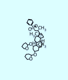 C[C@H](CS(=O)(=O)c1ccccc1)[C@H]1CC[C@H]2[C@@H]3CC=C4C[C@@H](OC5CCCCO5)C[C@@H](OC5CCCCO5)[C@]4(C)[C@H]3CC[C@]12C